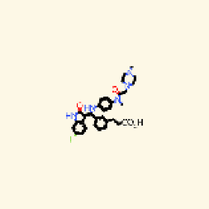 CN1CCN(CC(=O)N(C)c2ccc(N/C(=C3\C(=O)Nc4cc(F)ccc43)c3cccc(CCC(=O)O)c3)cc2)CC1